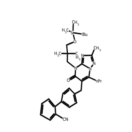 CCCc1c(Cc2ccc(-c3ccccc3C#N)cc2)c(=O)n(CC(C)(C)CO[Si](C)(C)C(C)(C)C)c2nc(C)nn12